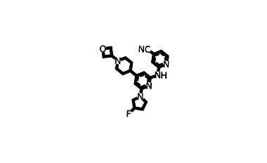 N#Cc1ccnc(Nc2cc(C3CCN(C4COC4)CC3)cc(N3CCC(F)C3)n2)c1